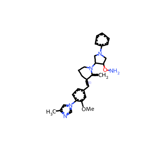 C=C1/C(=C/c2ccc(-n3cnc(C)c3)c(OC)c2)CCCN1C1CN(c2ccccc2)CC1ON